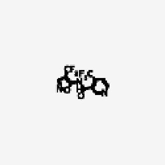 O=C(Nc1oncc1C(F)(F)F)c1cnccc1C(F)(F)F